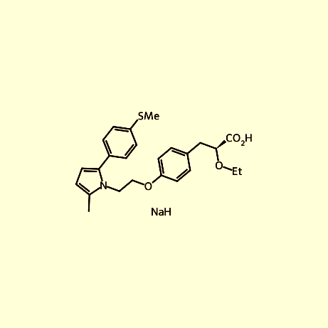 CCO[C@@H](Cc1ccc(OCCn2c(C)ccc2-c2ccc(SC)cc2)cc1)C(=O)O.[NaH]